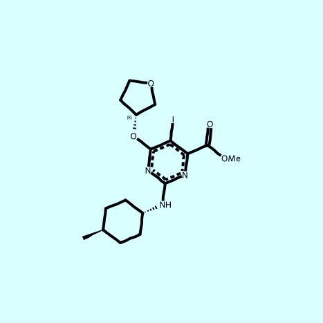 COC(=O)c1nc(N[C@H]2CC[C@H](C)CC2)nc(O[C@@H]2CCOC2)c1I